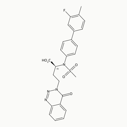 Cc1ccc(-c2ccc(N([C@@H](CCn3nnc4ccccc4c3=O)C(=O)O)S(C)(=O)=O)cc2)cc1F